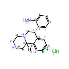 Cl.Cl.Nc1ccccc1[C@H]1CN2CCNC[C@H]2c2ccccc21